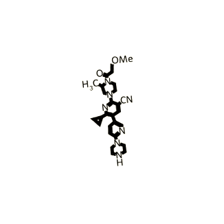 COCCC(=O)N1CCN(c2nc(C3CC3)c(-c3ccc(N4CCNCC4)nc3)cc2C#N)CC1C